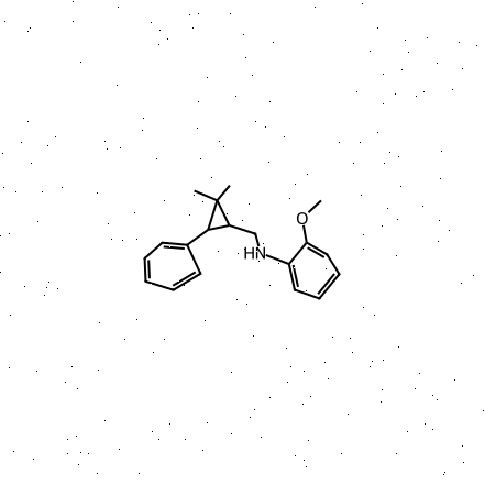 COc1ccccc1NCC1C(c2ccccc2)C1(C)C